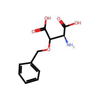 N[C@H](C(=O)O)C(OCc1ccccc1)C(=O)O